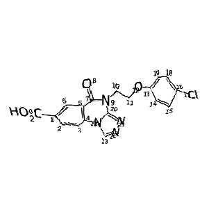 O=C(O)c1ccc2c(c1)c(=O)n(CCOc1ccc(Cl)cc1)c1nncn21